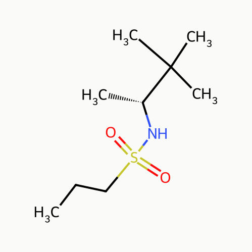 CCCS(=O)(=O)N[C@H](C)C(C)(C)C